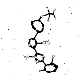 Cc1c(-c2ccc(OC(F)(F)C(F)Cl)cc2)csc1-c1nc(-c2c(F)cccc2Cl)nn1C